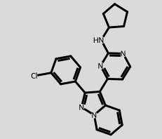 Clc1cccc(-c2nn3ccccc3c2-c2ccnc(NC3CCCC3)n2)c1